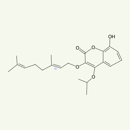 CC(C)=CCC/C(C)=C/COc1c(OC(C)C)c2cccc(O)c2oc1=O